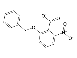 O=[N+]([O-])c1cccc(OCc2ccccc2)c1[N+](=O)[O-]